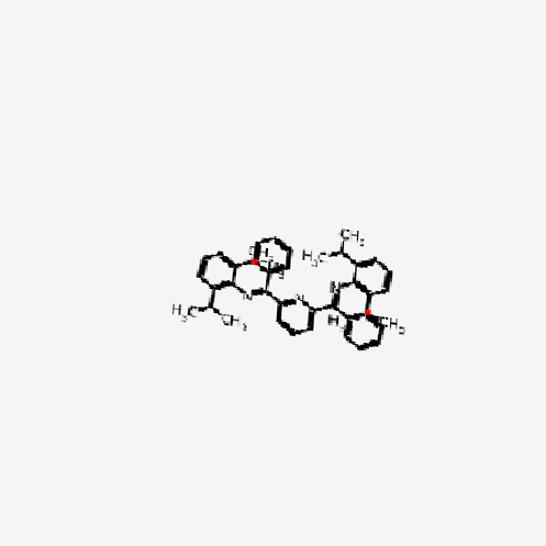 CC(C)c1cccc(C(C)C)c1N=C(c1ccccc1)c1cccc(C(=Nc2c(C(C)C)cccc2C(C)C)c2ccccc2)n1